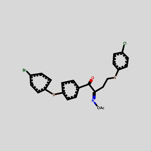 CC(=O)O/N=C(\CCSc1ccc(Cl)cc1)C(=O)c1ccc(Sc2ccc(Br)cc2)cc1